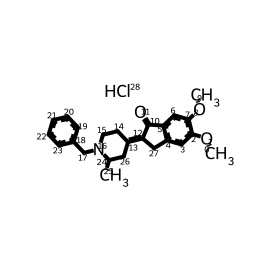 COc1cc2c(cc1OC)C(=O)C(=C1CCN(Cc3ccccc3)C(C)C1)C2.Cl